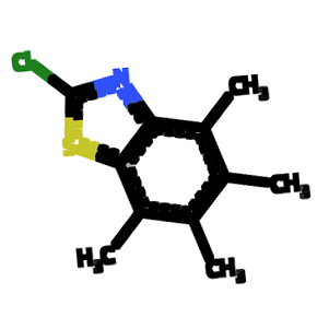 Cc1c(C)c(C)c2sc(Cl)nc2c1C